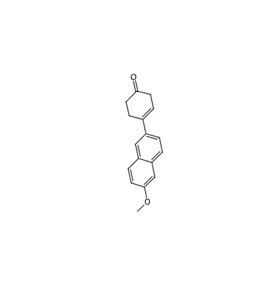 COc1ccc2cc(C3=CCC(=O)CC3)ccc2c1